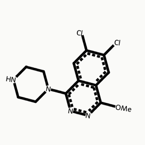 COc1nnc(N2CCNCC2)c2cc(Cl)c(Cl)cc12